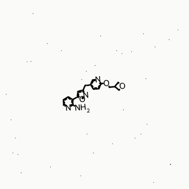 Nc1ncccc1-c1cc(Cc2ccc(OCC3COC3)nc2)no1